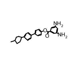 CC1CCC(c2ccc(-c3ccc(OC(=O)c4cc(N)cc(N)c4)cc3)cc2)CC1